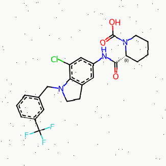 O=C(Nc1cc(Cl)c2c(c1)CCN2Cc1cccc(C(F)(F)F)c1)[C@H]1CCCCN1C(=O)O